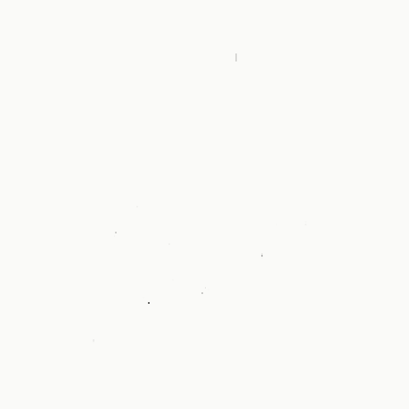 O=C(O)CC1(c2ccc(F)cc2)CCC2(C(=O)N3CCOCC3)CC3CC2C1C3